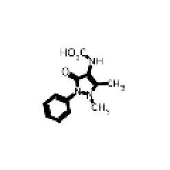 Cc1c(NC(=O)O)c(=O)n(-c2ccccc2)n1C